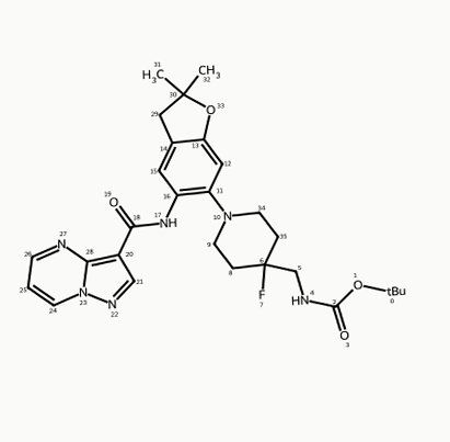 CC(C)(C)OC(=O)NCC1(F)CCN(c2cc3c(cc2NC(=O)c2cnn4cccnc24)CC(C)(C)O3)CC1